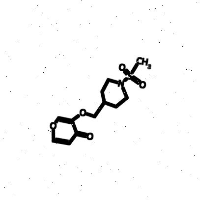 CS(=O)(=O)N1CCC(COc2coccc2=O)CC1